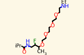 CCNCCOCCOCCOCCOC(C)C(F)CNC(=O)C(C)C